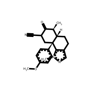 COc1ccc([C@@]23CC(C#N)C(=O)[C@@H](C)[C@@H]2CCc2cnn(C)c23)cc1